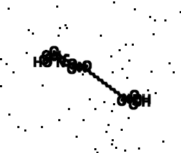 CCc1c2c(nc3ccc(OC(=O)N4CCN(C(=O)CCCCCCCCCCCCCCCCCCC(=O)N5CCC(C(=O)O)(C(=O)O)CC5)CC4)cc13)-c1cc3c(c(=O)n1C2)COC(=O)[C@]3(O)CC